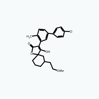 COCCC1CCCC2(C1)OC(=O)C(c1cc(-c3ccc(Cl)cc3)ccc1C)=C2O